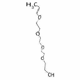 CC=COCCOCCOCCOCCO